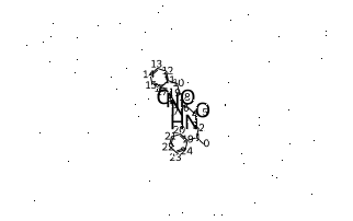 CC(CNC(=O)c1nnc(Cc2ccccc2Cl)o1)c1ccccc1